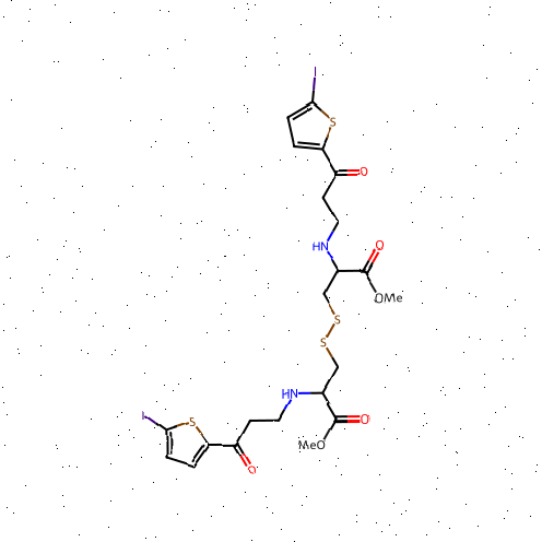 COC(=O)C(CSSCC(NCCC(=O)c1ccc(I)s1)C(=O)OC)NCCC(=O)c1ccc(I)s1